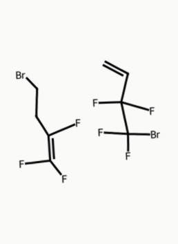 C=CC(F)(F)C(F)(F)Br.FC(F)=C(F)CCBr